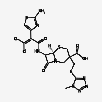 Cn1nnnc1SCC1(C(=O)O)CS[C@@H]2C(NC(=O)C(=C(Cl)Cl)c3csc(N)n3)C(=O)N2C1